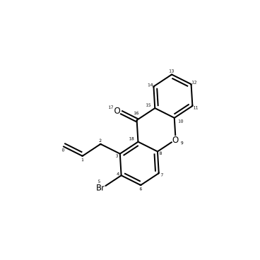 C=CCc1c(Br)ccc2oc3ccccc3c(=O)c12